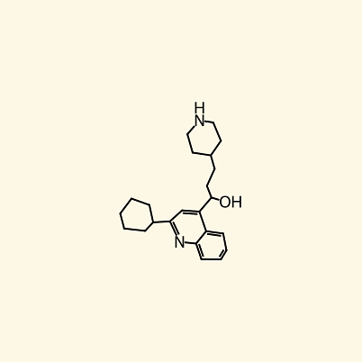 OC(CCC1CCNCC1)c1cc(C2CCCCC2)nc2ccccc12